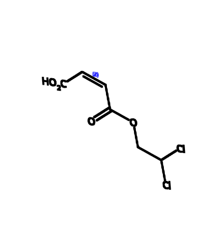 O=C(O)/C=C\C(=O)OCC(Cl)Cl